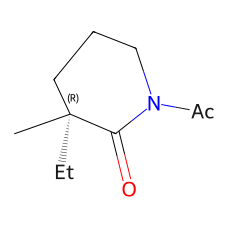 CC[C@]1(C)CCCN(C(C)=O)C1=O